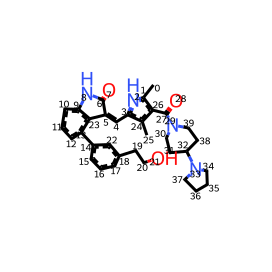 Cc1[nH]c(/C=C2\C(=O)Nc3cccc(-c4cccc(CCO)c4)c32)c(C)c1C(=O)N1CCC(N2CCCC2)CC1